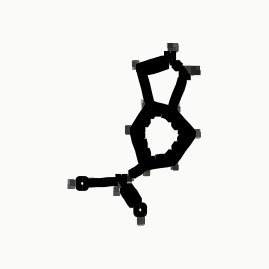 O=[N+]([O-])c1ccc2c(c1)C=N[N]2